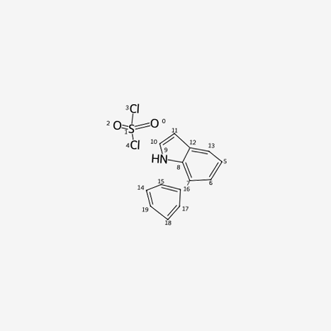 O=S(=O)(Cl)Cl.c1ccc2[nH]ccc2c1.c1ccccc1